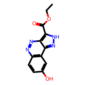 CCOC(=O)c1[nH]nc2c1nnc1ccc(O)cc12